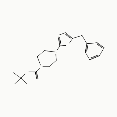 CC(C)(C)OC(=O)N1CCN(c2ncc(Cc3ccccc3)o2)CC1